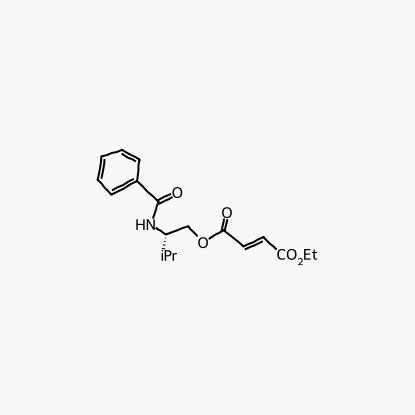 CCOC(=O)/C=C/C(=O)OC[C@@H](NC(=O)c1ccccc1)C(C)C